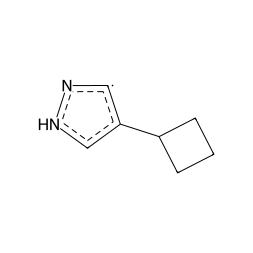 [c]1n[nH]cc1C1CCC1